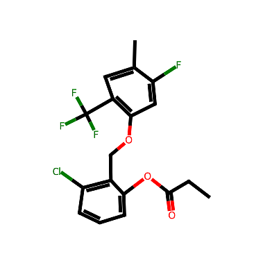 CCC(=O)Oc1cccc(Cl)c1COc1cc(F)c(C)cc1C(F)(F)F